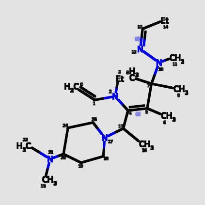 C=CN(CC)/C(=C(/C)C(C)(C)N(C)/N=C\CC)C(C)N1CCC(N(C)C)CC1